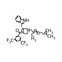 C/C(CN1CCN(C(=O)c2cc(C(F)(F)F)cc(C(F)(F)F)c2)[C@H](Cc2c[nH]c3ccccc23)C1)=N\OCCN(C)C